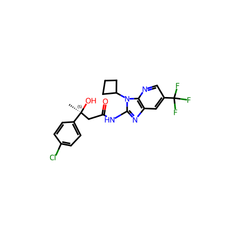 C[C@](O)(CC(=O)Nc1nc2cc(C(F)(F)F)cnc2n1C1CCC1)c1ccc(Cl)cc1